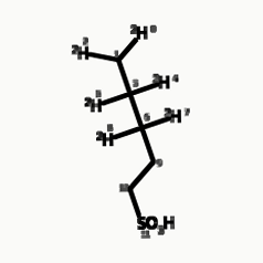 [2H]C([2H])C([2H])([2H])C([2H])([2H])CCS(=O)(=O)O